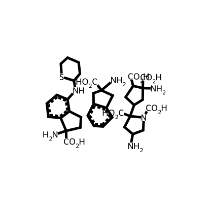 NC1(C(=O)O)CCc2c(NC3CCCCS3)cccc21.NC1(C(=O)O)Cc2ccccc2C1.NC1CN(C(=O)O)C(C(=O)O)(C2CC(C(=O)O)C(N)(C(=O)O)C2)C1